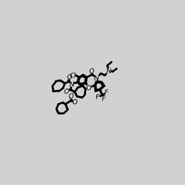 CCN(CC)CCN1C(=O)c2cc(Cl)c(N(C(=O)C3CCCCCC3)C(=O)C3(OC(=O)C4CCCCCC4)CCCCCC3)cc2Oc2cc(C(F)(F)F)ccc21